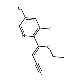 CCOC(=CC#N)c1ncc(Cl)cc1F